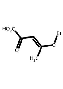 CCOC(C)=CC(=O)C(=O)O